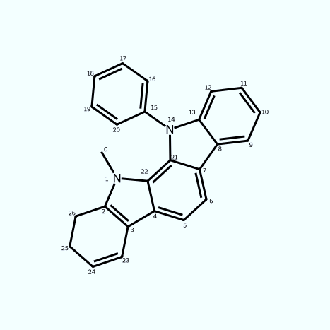 Cn1c2c(c3ccc4c5ccccc5n(-c5ccccc5)c4c31)C=CCC2